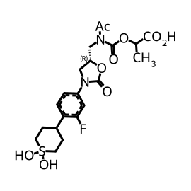 CC(=O)N(C[C@H]1CN(c2ccc(C3CCS(O)(O)CC3)c(F)c2)C(=O)O1)C(=O)OC(C)C(=O)O